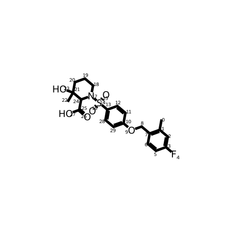 Cc1cc(F)ccc1COc1ccc(S(=O)(=O)N2CCCC(C)(O)C2C(=O)O)cc1